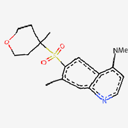 CNc1ccnc2cc(C)c(S(=O)(=O)C3(C)CCOCC3)cc12